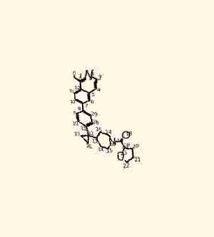 Cc1nccc2cc(-c3ccc(C4(C5CCN(C(=O)[C@H]6CCCO6)CC5)CC4)cc3)ccc12